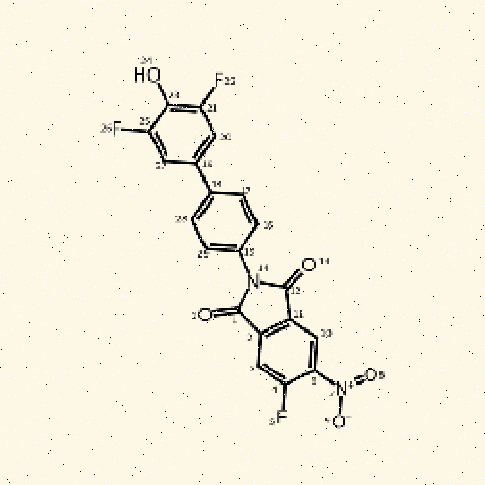 O=C1c2cc(F)c([N+](=O)[O-])cc2C(=O)N1c1ccc(-c2cc(F)c(O)c(F)c2)cc1